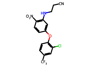 N#CCCNc1cc(Oc2ccc(C(F)(F)F)cc2Cl)ccc1[N+](=O)[O-]